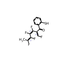 C\C(F)=C(F)/C(F)=C(F)\C(=C\F)C(=O)c1ccccc1S